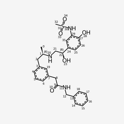 C[C@H](Cc1cccc(CC(=O)NCc2ccccc2)c1)NC[C@H](O)c1ccc(O)c(NS(C)(=O)=O)c1